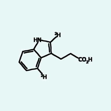 [2H]c1[nH]c2cccc([2H])c2c1CCC(=O)O